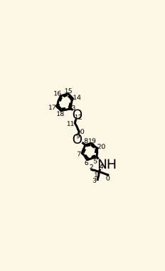 CC(C)(C)Nc1ccc(OCCOc2ccccc2)cc1